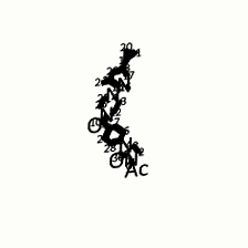 CC(=O)N1CCN(c2ccc(C(=O)N3CCN(c4ncc(C5CC5)cc4C)CC3)cc2)C1=O